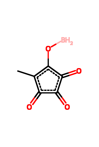 BOc1c(C)c(=O)c(=O)c1=O